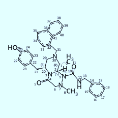 C[C@@H]1[C@H]2N(C(=O)CN(C)N2C(=O)NCc2ccccc2)[C@@H](Cc2ccc(O)cc2)CN1Cc1cccc2ccccc12